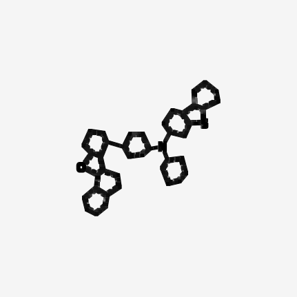 c1ccc(N(c2ccc(-c3cccc4oc5c6ccccc6ccc5c34)cc2)c2ccc3c(c2)sc2ccccc23)cc1